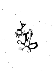 CC1CC1c1cnnn1-c1ncn2c1c(=O)n(C(C)C)c1c(Cl)cccc12